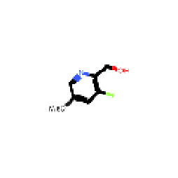 COc1cnc(CO)c(F)c1